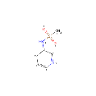 CS(=O)(=O)NC1C=NC=CC1